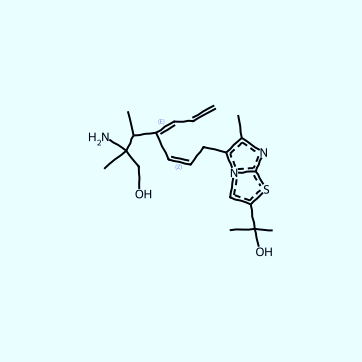 C=C/C=C(\C=C/Cc1c(C)nc2sc(C(C)(C)O)cn12)C(C)C(C)(N)CO